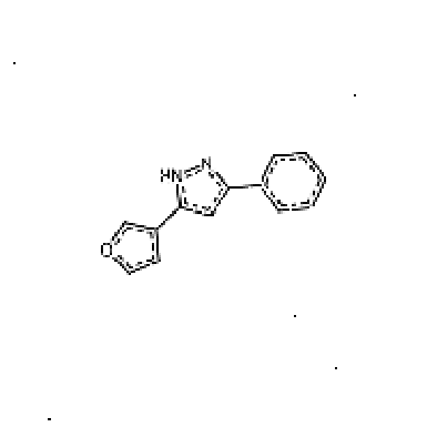 c1ccc(-c2cc(-c3ccoc3)[nH]n2)cc1